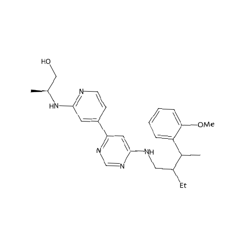 CCC(CNc1cc(-c2ccnc(N[C@@H](C)CO)c2)ncn1)C(C)c1ccccc1OC